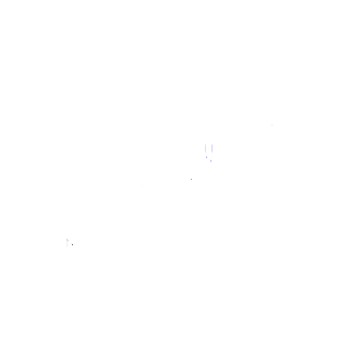 Cc1ccccc1NC(=O)Cc1ccc(C#N)cc1